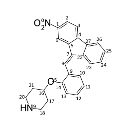 O=[N+]([O-])c1ccc2c(c1)/C(=C/c1ccccc1OC1CCNCC1)c1ccccc1-2